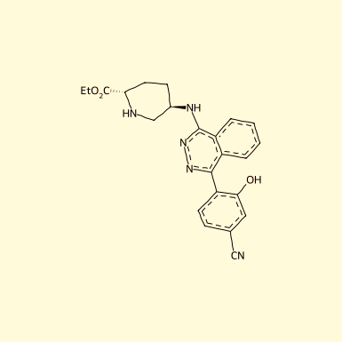 CCOC(=O)[C@@H]1CC[C@@H](Nc2nnc(-c3ccc(C#N)cc3O)c3ccccc23)CN1